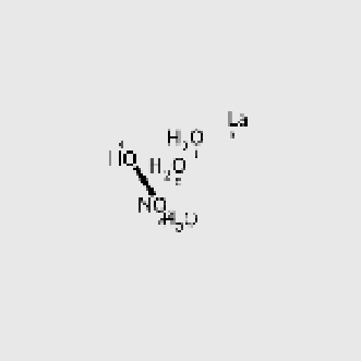 O.O.O.O=[N+]([O-])O.[La]